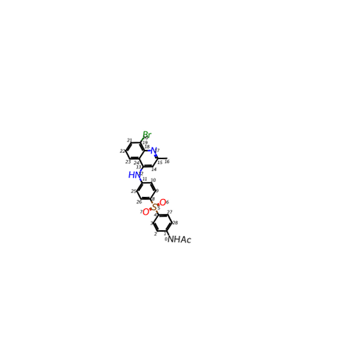 CC(=O)Nc1ccc(S(=O)(=O)c2ccc(Nc3cc(C)nc4c(Br)cccc34)cc2)cc1